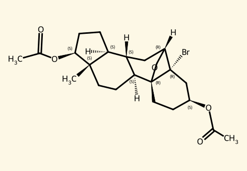 CC(=O)O[C@H]1CC[C@]23CO[C@H](C[C@H]4[C@@H]5CC[C@H](OC(C)=O)[C@@]5(C)CC[C@@H]42)[C@@]3(Br)C1